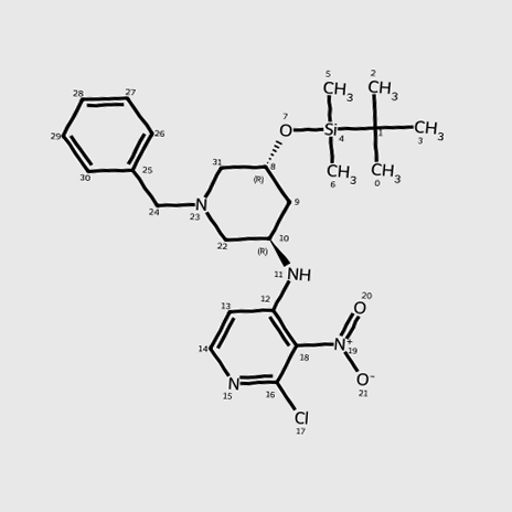 CC(C)(C)[Si](C)(C)O[C@@H]1C[C@@H](Nc2ccnc(Cl)c2[N+](=O)[O-])CN(Cc2ccccc2)C1